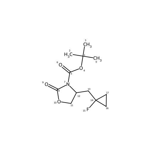 CC(C)(C)OC(=O)N1C(=O)OCC1CC1(F)CC1